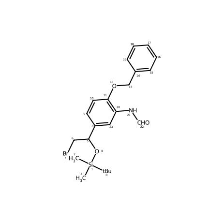 CC(C)(C)[Si](C)(C)OC(CBr)c1ccc(OCc2ccccc2)c(NC=O)c1